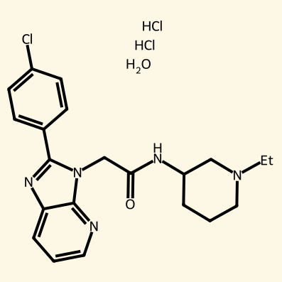 CCN1CCCC(NC(=O)Cn2c(-c3ccc(Cl)cc3)nc3cccnc32)C1.Cl.Cl.O